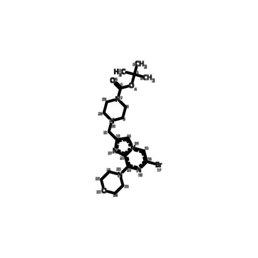 CC(C)(C)OC(=O)N1CCN(Cc2cn3cc(Br)nc(N4CCOCC4)c3n2)CC1